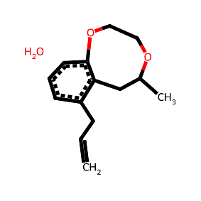 C=CCc1cccc2c1CC(C)OCCO2.O